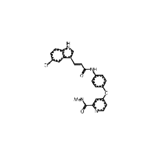 CNC(=O)c1cc(Oc2ccc(NC(=O)/C=C/c3c[nH]c4ccc(Cl)cc34)cc2)ccn1